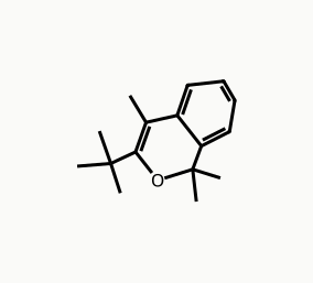 CC1=C(C(C)(C)C)OC(C)(C)c2ccccc21